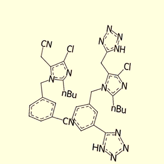 CCCCc1nc(Cl)c(CC#N)n1Cc1cccc(C#N)c1.CCCCc1nc(Cl)c(Cc2nnn[nH]2)n1Cc1cccc(-c2nnn[nH]2)c1